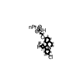 CCCS(=O)(=O)NCCOc1ccc2c(c1)C(C1(c3ccc(Cl)cc3)CC(F)(F)C1)=NCC2